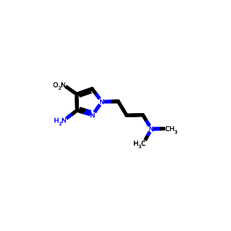 CN(C)CCCn1cc([N+](=O)[O-])c(N)n1